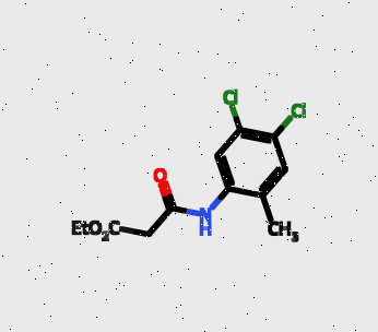 CCOC(=O)CC(=O)Nc1cc(Cl)c(Cl)cc1C